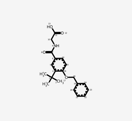 CC(C)(C)c1cc(C(=O)NCC(=O)O)ccc1OCc1ccccc1